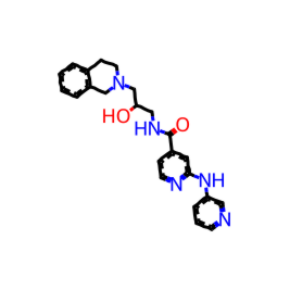 O=C(NCC(O)CN1CCc2ccccc2C1)c1ccnc(Nc2cccnc2)c1